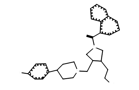 CC(=O)OCCC1CN(C(=O)c2cccc3ccccc23)CC1CN1CCC(c2ccc(F)cc2)CC1